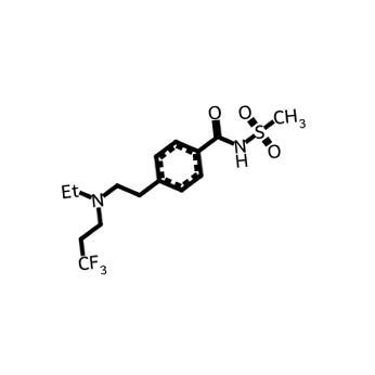 CCN(CCc1ccc(C(=O)NS(C)(=O)=O)cc1)CCC(F)(F)F